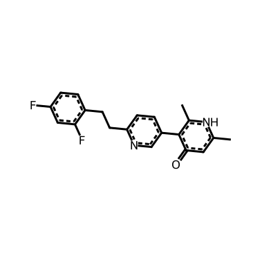 Cc1cc(=O)c(-c2ccc(CCc3ccc(F)cc3F)nc2)c(C)[nH]1